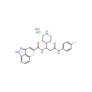 Cl.Cl.O=C(CC(NC(=O)C1=Cc2n[nH]c3cccc(c23)S1)C1CCNCC1)Nc1ccc(F)cc1